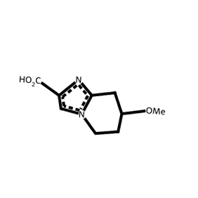 COC1CCn2cc(C(=O)O)nc2C1